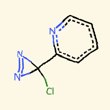 ClC1(c2ccccn2)N=N1